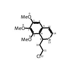 COc1cc2c(c(OC)c1OC)C(CCCl)SC=C2